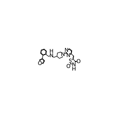 O=C1NC(=O)C(=Cc2ccnc(N3CCC(CNCc4ccccc4-c4ccoc4)CC3)n2)S1